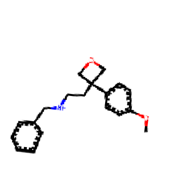 COc1ccc(C2(CCNCc3ccccc3)COC2)cc1